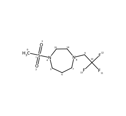 CS(=O)(=O)N1CCCN(CC(F)(F)F)CC1